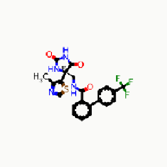 Cc1ncsc1[C@]1(CNC(=O)c2ccccc2-c2ccc(C(F)(F)F)cc2)NC(=O)NC1=O